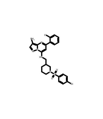 Bc1cnn2c(NCC3CCCN(S(=O)(=O)c4ccc(CC)cc4)C3)cc(-c3ccccc3Cl)nc12